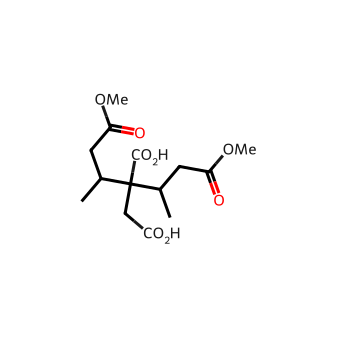 COC(=O)CC(C)C(CC(=O)O)(C(=O)O)C(C)CC(=O)OC